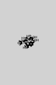 Cc1ccc(-c2c[nH]nc2-c2nc(NC3CCOC3)c3ncn([C@@H]4O[C@H](CO)[C@@H](O)[C@H]4O)c3n2)cc1